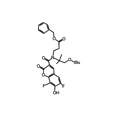 CC(C)(C)OCC(C)(C)N(CCC(=O)OCc1ccccc1)C(=O)c1cc2cc(F)c(O)c(F)c2oc1=O